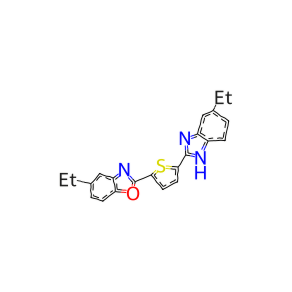 CCc1ccc2[nH]c(-c3ccc(-c4nc5cc(CC)ccc5o4)s3)nc2c1